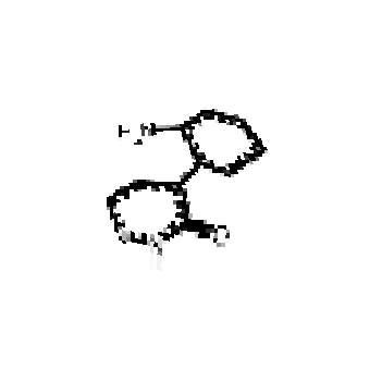 Nc1ccccc1-c1ccn[nH]c1=O